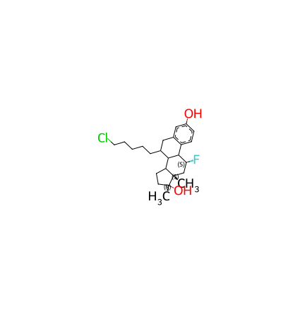 C[C@]12C[C@H](F)C3c4ccc(O)cc4CC(CCCCCCl)C3C1CC[C@@]2(C)O